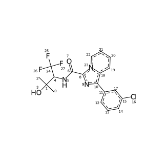 CC(C)(O)C(NC(=O)c1nc(-c2cccc(Cl)c2)c2ccccn12)C(F)(F)F